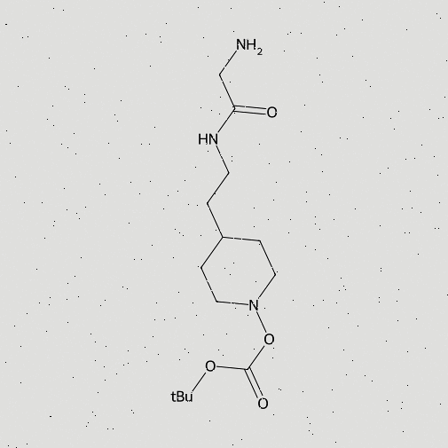 CC(C)(C)OC(=O)ON1CCC(CCNC(=O)CN)CC1